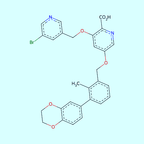 Cc1c(COc2cnc(C(=O)O)c(OCc3cncc(Br)c3)c2)cccc1-c1ccc2c(c1)OCCO2